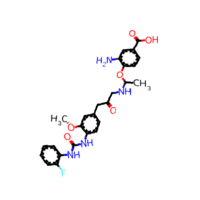 COc1cc(CC(=O)CNC(C)Oc2ccc(C(=O)O)cc2N)ccc1NC(=O)Nc1ccccc1F